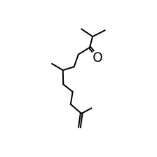 C=C(C)CCCC(C)CCC(=O)C(C)C